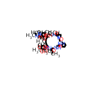 CC[C@H](C)C1NC(=O)[C@H](C)[C@@H](C[C@H]2C[C@@](C)(OC)[C@@H](O)[C@H](C)O2)[C@H](C)[C@@H](O[C@@H]2O[C@H](C)C[C@H]3[C@H]2O/C(=N/C(C)C)N3C)[C@](C)(O)C[C@@H](C)CN(C)C(=O)[C@@H]2CCCN2C(=O)[C@H](Cc2ccccc2)NC(=O)CNC1=O